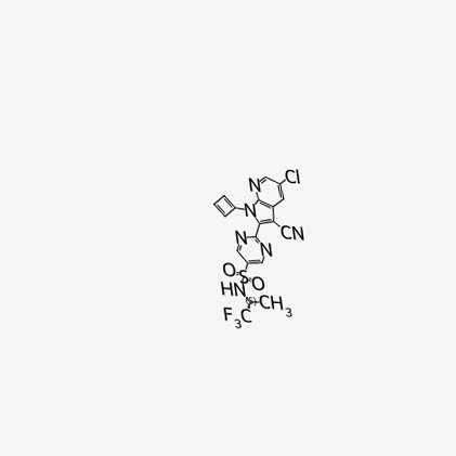 C[C@H](NS(=O)(=O)c1cnc(-c2c(C#N)c3cc(Cl)cnc3n2C2=CC=C2)nc1)C(F)(F)F